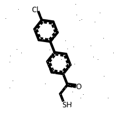 O=C(CS)c1ccc(-c2ccc(Cl)cc2)cc1